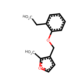 O=C(O)Cc1ccccc1OCc1ccoc1C(=O)O